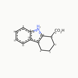 O=C(O)C1CCCc2c1[nH]c1ccccc21